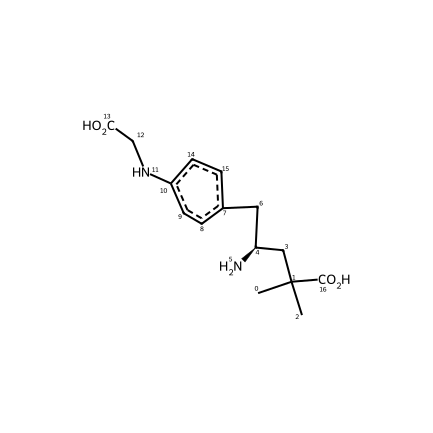 CC(C)(C[C@@H](N)Cc1ccc(NCC(=O)O)cc1)C(=O)O